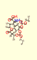 CCCOC(=O)Oc1ccc(C(C(C)C(C)OC(=O)C(C)(C)CC)[C@H](N)C(=O)O)cc1OC(=O)OCCC